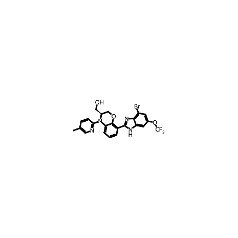 Cc1ccc(N2c3cccc(-c4nc5c(Br)cc(OC(F)(F)F)cc5[nH]4)c3OC[C@@H]2CO)nc1